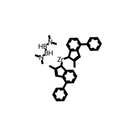 CC1=Cc2c(-c3ccccc3)cccc2[CH]1[Zr][CH]1C(C)=Cc2c(-c3ccccc3)cccc21.CN(C)BBN(C)C